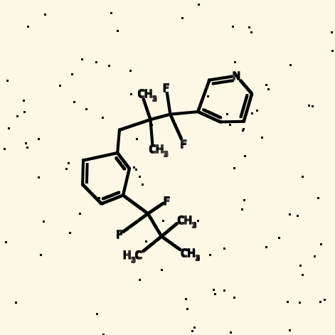 CC(C)(C)C(F)(F)c1cccc(CC(C)(C)C(F)(F)c2cccnc2)c1